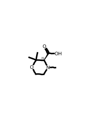 CN1CCOC(C)(C)[C@H]1C(=O)O